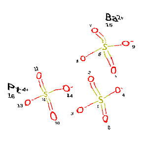 O=S(=O)([O-])[O-].O=S(=O)([O-])[O-].O=S(=O)([O-])[O-].[Ba+2].[Pt+4]